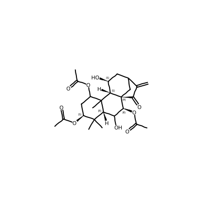 C=C1C(=O)[C@]23CC1C[C@H](O)[C@H]2C1(C)C(OC(C)=O)C[C@H](OC(C)=O)C(C)(C)[C@H]1C(O)[C@@H]3OC(C)=O